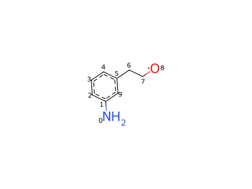 Nc1cccc(CC[O])c1